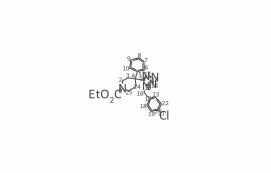 CCOC(=O)N1CCC(c2ccccc2)(c2nnnn2Cc2ccc(Cl)cc2)CC1